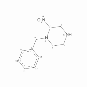 O=[N+]([O-])C1CNCCN1Cc1ccccc1